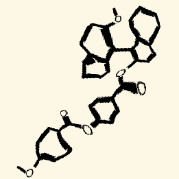 COc1ccc(C(=O)Oc2ccc(C(=O)Oc3ccc4ccccc4c3-c3c(OC)ccc4ccccc34)cc2)cc1